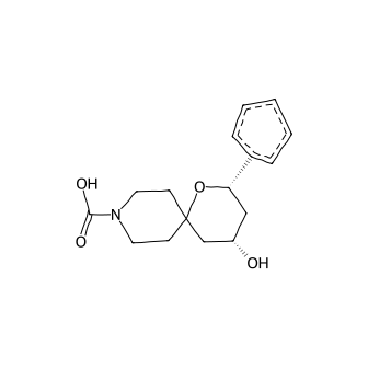 O=C(O)N1CCC2(CC1)C[C@@H](O)C[C@@H](c1ccccc1)O2